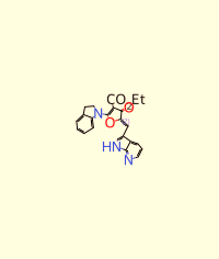 CCOC(=O)C1=C(N2CCc3ccccc32)O/C(=C\c2c[nH]c3ncccc23)C1=O